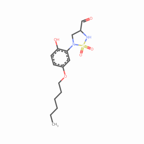 CCCCCCOc1ccc(O)c(N2CC(C=O)NS2(=O)=O)c1